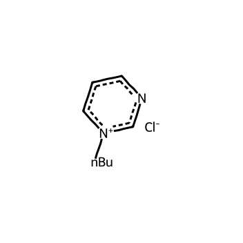 CCCC[n+]1cccnc1.[Cl-]